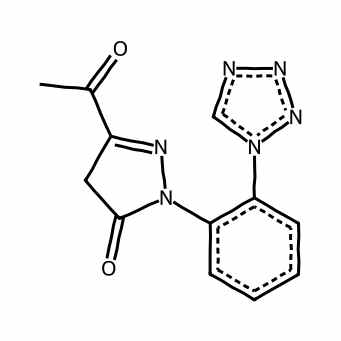 CC(=O)C1=NN(c2ccccc2-n2cnnn2)C(=O)C1